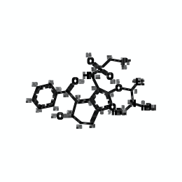 CCCCN(CCCC)C(CC)Oc1oc2c(c1NS(=O)(=O)CC(C)C)=C(C(=O)c1ccccc1)C(=O)CC=2